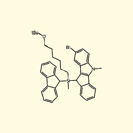 Cn1c2c(c3cc(Br)ccc31)C([Si](C)(CCCCCCOC(C)(C)C)C1c3ccccc3-c3ccccc31)c1ccccc1-2